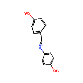 Oc1ccc(/C=N/c2ccc(O)cc2)cc1